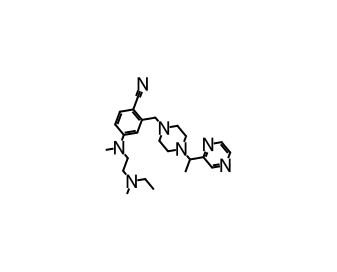 CCN(C)CCN(C)c1ccc(C#N)c(CN2CCN(C(C)c3cnccn3)CC2)c1